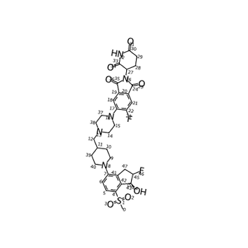 CS(=O)(=O)c1ccc(N2CCC(CN3CCN(c4cc5c(cc4F)C(=O)N(C4CCC(=O)NC4=O)C5=O)CC3)CC2)c2c1[C@H](O)C(F)C2